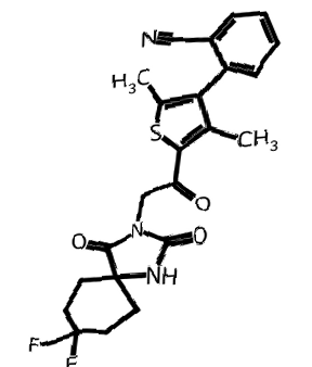 Cc1sc(C(=O)CN2C(=O)NC3(CCC(F)(F)CC3)C2=O)c(C)c1-c1ccccc1C#N